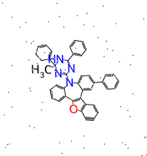 CC1(C2=CC=CCC2)N=C(N2c3ccccc3-c3oc4c#cccc4c3-c3cc(-c4ccccc4)ccc32)N=C(c2ccccc2)N1